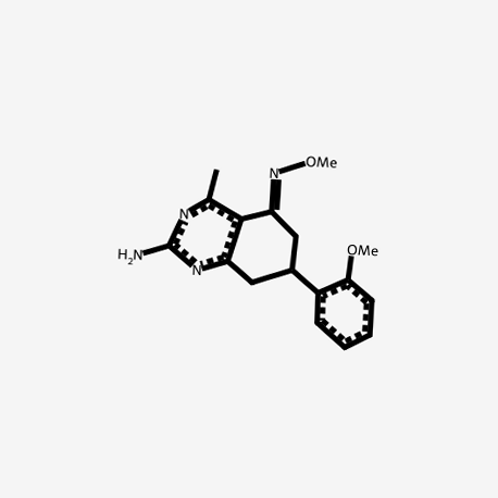 CO/N=C1\CC(c2ccccc2OC)Cc2nc(N)nc(C)c21